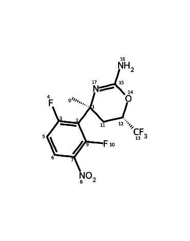 C[C@@]1(c2c(F)ccc([N+](=O)[O-])c2F)C[C@@H](C(F)(F)F)OC(N)=N1